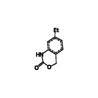 CCc1ccc2c(c1)NC(=O)OC2